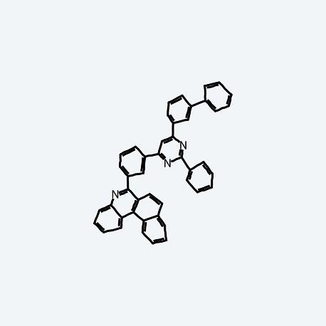 c1ccc(-c2cccc(-c3cc(-c4cccc(-c5nc6ccccc6c6c5ccc5ccccc56)c4)nc(-c4ccccc4)n3)c2)cc1